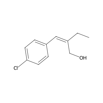 CCC(=Cc1ccc(Cl)cc1)CO